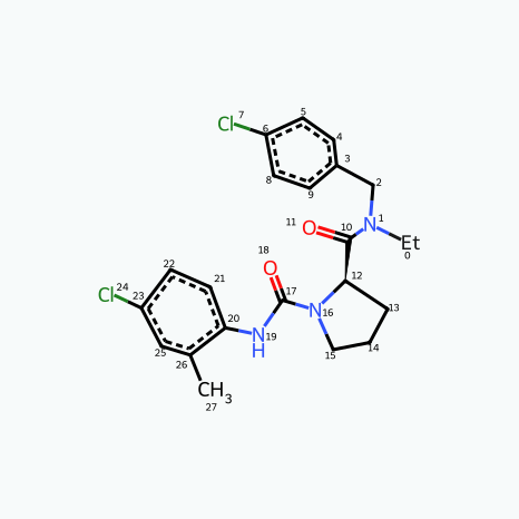 CCN(Cc1ccc(Cl)cc1)C(=O)[C@H]1CCCN1C(=O)Nc1ccc(Cl)cc1C